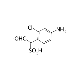 Nc1ccc(C([C]=O)S(=O)(=O)O)c(Cl)c1